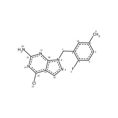 Cc1ccc(F)c(Cn2ncc3c(Cl)nc(N)nc32)c1